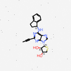 CC#Cc1nc(N[C@H]2CCc3ccccc32)c2ncn([C@@H]3SC[C@@H](O)[C@H]3O)c2n1